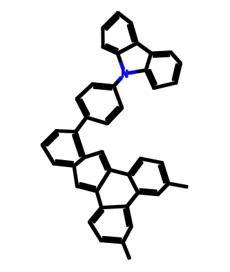 Cc1ccc2c(c1)c1cc(C)ccc1c1cc3c(-c4ccc(-n5c6ccccc6c6ccccc65)cc4)cccc3cc21